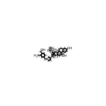 C[C@]12C=CC(O)C=C1CC[C@@H]1[C@@H]2[C@@H](O)C[C@@]2(C)[C@H]1C[C@H]1O[C@@H](c3ccn(Cc4ccc(CO)c(N)c4)c3)O[C@]12C(=O)COP(=O)(O)O